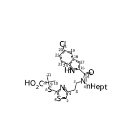 CCCCCCCN(CCc1csc(SC(C)(C)C(=O)O)n1)C(=O)c1cc2cc(Cl)ccc2[nH]1